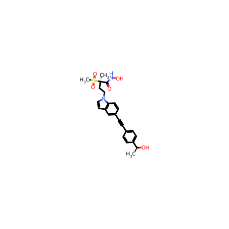 C[C@H](O)c1ccc(C#Cc2ccc3c(ccn3CC[C@](C)(C(=O)NO)S(C)(=O)=O)c2)cc1